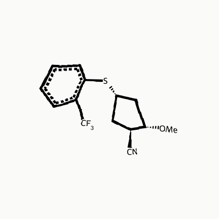 CO[C@H]1C[C@@H](Sc2ccccc2C(F)(F)F)C[C@@H]1C#N